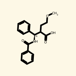 COCCC(C(=O)O)[C@@H](NC(=O)c1ccccc1)c1ccccc1